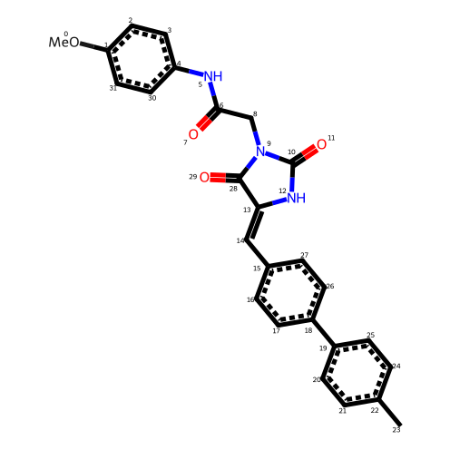 COc1ccc(NC(=O)CN2C(=O)N/C(=C\c3ccc(-c4ccc(C)cc4)cc3)C2=O)cc1